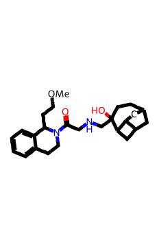 COCCC1c2ccccc2CCN1C(=O)CNCC1(O)CCC2CC3CC1C3C2